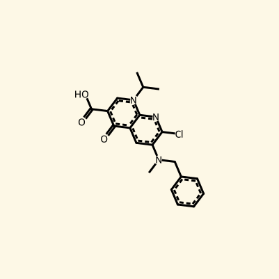 CC(C)n1cc(C(=O)O)c(=O)c2cc(N(C)Cc3ccccc3)c(Cl)nc21